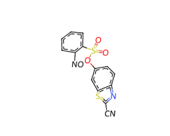 N#Cc1nc2ccc(OS(=O)(=O)c3ccccc3N=O)cc2s1